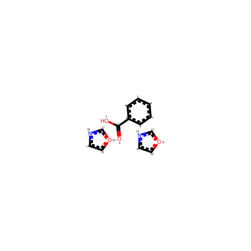 O=C(O)c1ccccc1.c1cocn1.c1cocn1